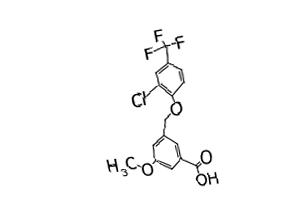 COc1cc(COc2ccc(C(F)(F)F)cc2Cl)cc(C(=O)O)c1